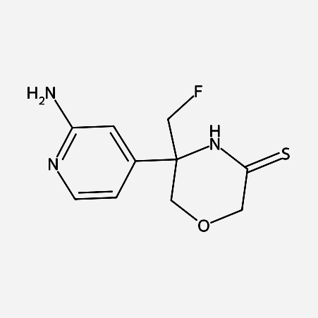 Nc1cc(C2(CF)COCC(=S)N2)ccn1